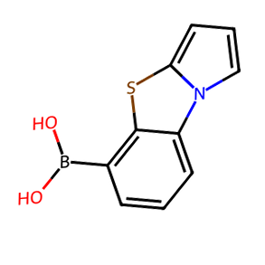 OB(O)c1cccc2c1sc1cccn12